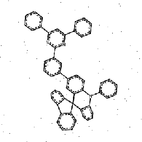 c1ccc(-c2cc(-c3ccccc3)nc(-c3cccc(-c4ccc5c(c4)C4(c6ccccc6-c6ccccc64)c4ccccc4N5c4ccccc4)c3)n2)cc1